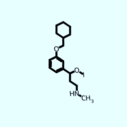 CNCCC(OI)c1cccc(OCC2CCCCC2)c1